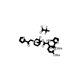 COC(=O)c1sccc1NC(C(=O)O[C@H]1C[N+]2(CC(=O)c3cccs3)CCC1CC2)c1ccc(OC)nc1.O=C([O-])C(F)(F)F